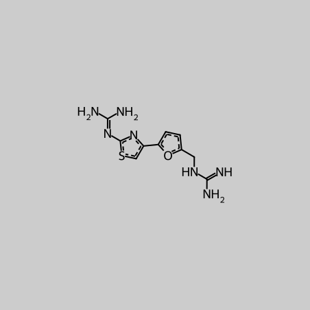 N=C(N)NCc1ccc(-c2csc(N=C(N)N)n2)o1